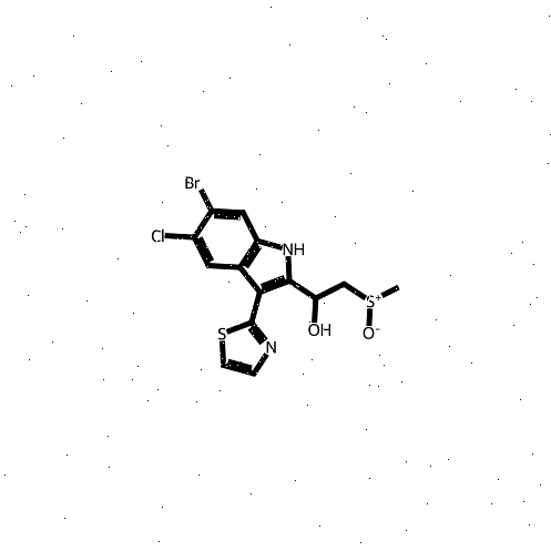 C[S+]([O-])CC(O)c1[nH]c2cc(Br)c(Cl)cc2c1-c1nccs1